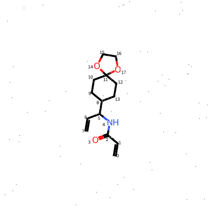 C=CC(=O)NC(C=C)C1CCC2(CC1)OCCO2